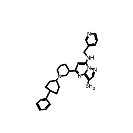 Bc1cnn2c(NCc3cccnc3)cc(C3CCCN(C4CCC(c5ccccc5)CC4)C3)nc12